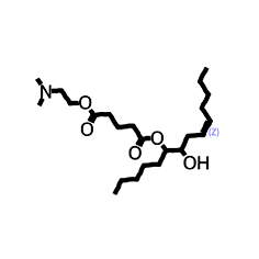 CCCC/C=C\CC(O)C(CCCCC)OC(=O)CCCC(=O)OCCN(C)C